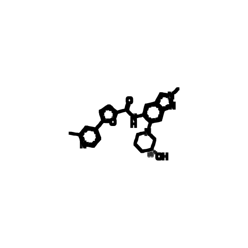 Cc1cc(-c2ccc(C(=O)Nc3cc4cn(C)nc4cc3N3CCC[C@@H](O)C3)o2)ccn1